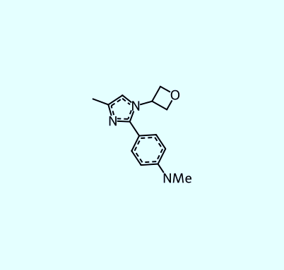 CNc1ccc(-c2nc(C)cn2C2COC2)cc1